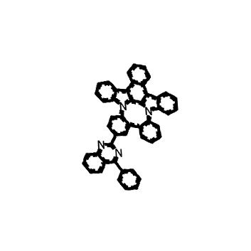 c1ccc(-c2nc(-c3ccc4c(c3)c3ccccc3n3c5ccccc5c5c6ccccc6c6c7ccccc7n4c6c53)nc3ccccc23)cc1